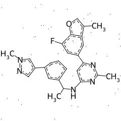 Cc1nc(NC(C)c2cccc(-c3cnn(C)c3)c2)cc(-c2cc(F)c3occ(C)c3c2)n1